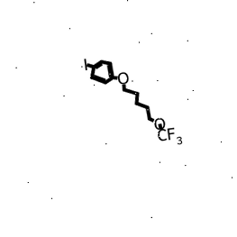 FC(F)(F)OCCCCCOc1ccc(I)cc1